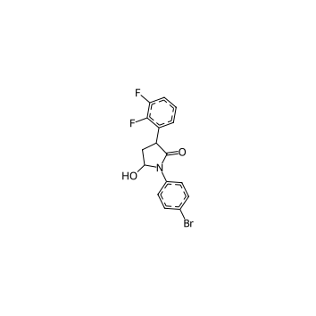 O=C1C(c2cccc(F)c2F)CC(O)N1c1ccc(Br)cc1